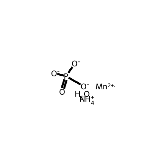 O.O=P([O-])([O-])[O-].[Mn+2].[NH4+]